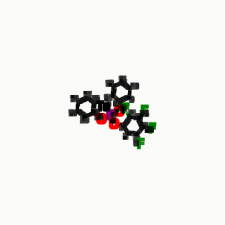 Fc1cc(OP(=[Te])(Oc2ccccc2)Oc2ccccc2)c(F)c(F)c1F